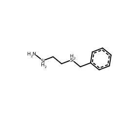 N[SiH2]CC[SiH2]Cc1ccccc1